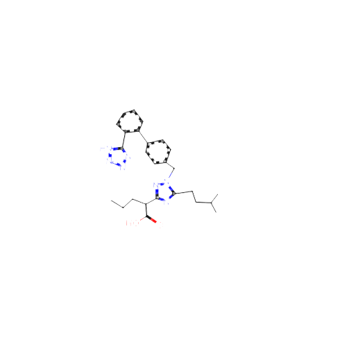 CCCC(C(=O)O)c1nc(CCC(C)C)n(Cc2ccc(-c3ccccc3-c3nnn[nH]3)cc2)n1